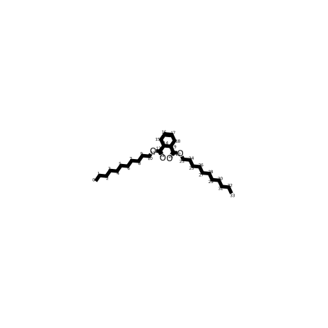 CCCCCCCCCCCOC(=O)C1CC=CCC1C(=O)OCCCCCCCCCCC